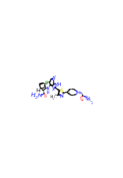 Cc1nc(C2CCN(CC(N)=O)CC2)sc1-c1nc2c(N[C@H]3[C@@H](C(N)=O)[C@@H]4C=C[C@H]3C4)c(Cl)cnc2[nH]1